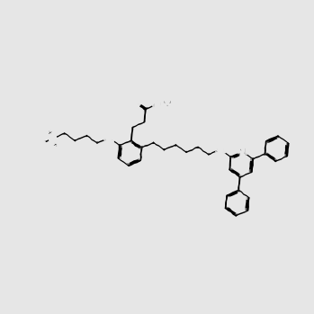 COC(=O)CCc1c(CCCCCCOc2cc(-c3ccccc3)cc(-c3ccccc3)n2)cccc1OCCCCS(C)(=O)=O